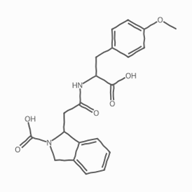 COc1ccc(CC(NC(=O)CC2c3ccccc3CN2C(=O)O)C(=O)O)cc1